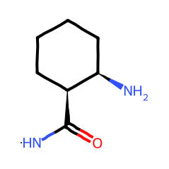 [NH]C(=O)[C@H]1CCCC[C@H]1N